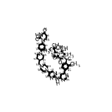 C#S/C=[N+](\C(=O)c1nc(C(C)(C)C)no1)[C@H](C)c1ccc(-c2cc(Nc3ncc(N4CCN(CC5CCN(c6ccc(N7CCC(=O)NC7=O)cc6)CC5)CC4)cn3)ncn2)cc1C